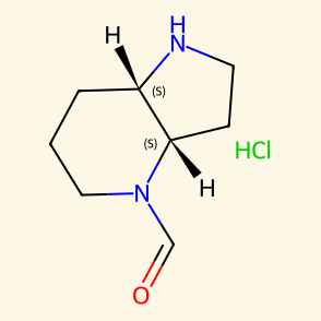 Cl.O=CN1CCC[C@@H]2NCC[C@@H]21